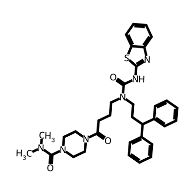 CN(C)C(=O)N1CCN(C(=O)CCCN(CCC(c2ccccc2)c2ccccc2)C(=O)Nc2nc3ccccc3s2)CC1